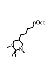 CCCCCCCCCCCCC1CN(C)C(=O)N(C)C1